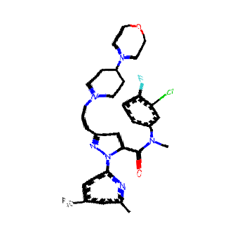 Cc1cc(C(F)(F)F)cc(N2N=C(CN3CCC(N4CCOCC4)CC3)CC2C(=O)N(C)c2ccc(F)c(Cl)c2)n1